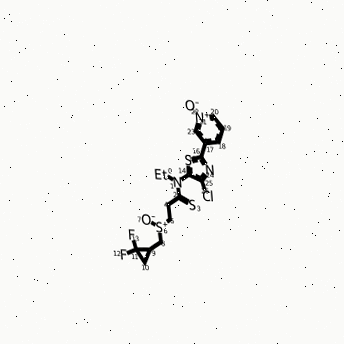 CCN(C(=S)CC[S+]([O-])CC1CC1(F)F)c1sc(-c2ccc[n+]([O-])c2)nc1Cl